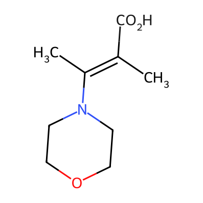 C/C(C(=O)O)=C(/C)N1CCOCC1